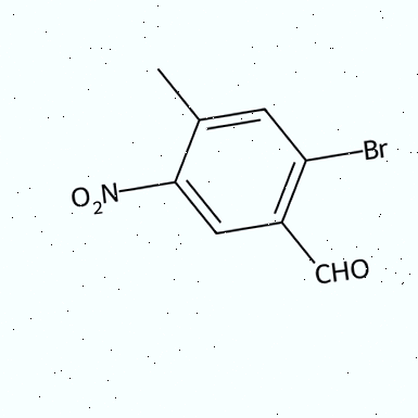 Cc1cc(Br)c(C=O)cc1[N+](=O)[O-]